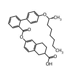 CCCCCC[C@H](C)Oc1ccc(-c2ccccc2C(=O)Oc2ccc3c(c2)CCC(C(=O)O)C3)cc1